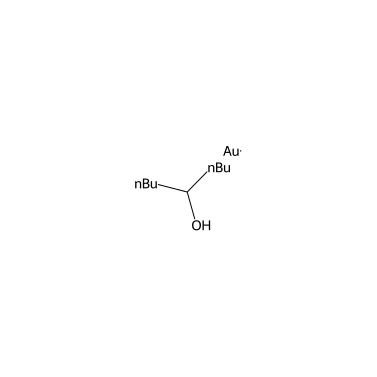 CCCCC(O)CCCC.[Au]